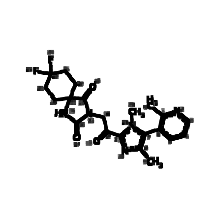 Cc1ncccc1-c1c(C)nc(C(=O)CN2C(=O)NC3(CCC(F)(F)CC3)C2=O)n1C